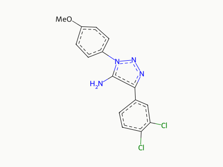 COc1ccc(-n2nnc(-c3ccc(Cl)c(Cl)c3)c2N)cc1